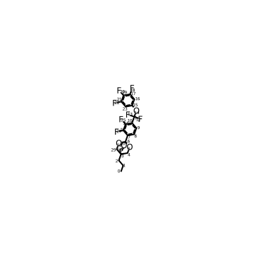 CCCC12COC(c3ccc(C(F)(F)Oc4cc(F)c(F)c(F)c4)c(F)c3F)(OC1)OC2